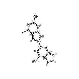 Cc1nc(O)nc2nn(-c3cc(C(C)C)c4nccn4c3)cc12